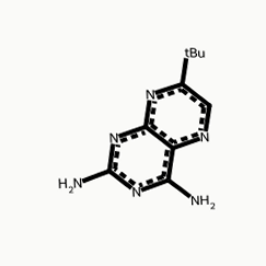 CC(C)(C)c1cnc2c(N)nc(N)nc2n1